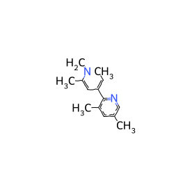 C=N/C(C)=C\C(=C/C)c1ncc(C)cc1C